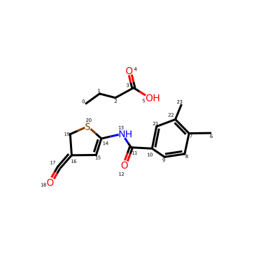 CCCC(=O)O.Cc1ccc(C(=O)NC2=CC(=C=O)CS2)cc1C